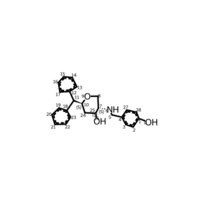 Oc1ccc(CN[C@H]2CO[C@H](C(c3ccccc3)c3ccccc3)C[C@@H]2O)cc1